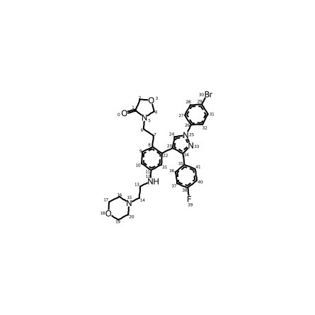 O=C1COCN1CCc1ccc(NCCN2CCOCC2)cc1-c1cn(-c2ccc(Br)cc2)nc1-c1ccc(F)cc1